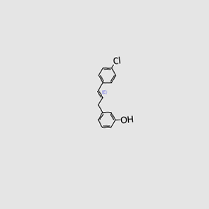 Oc1cccc(C/C=C/c2ccc(Cl)cc2)c1